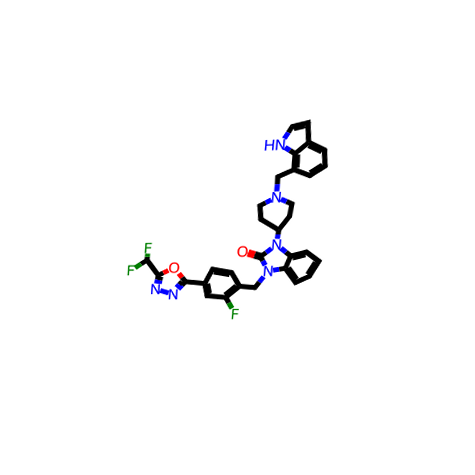 O=c1n(Cc2ccc(-c3nnc(C(F)F)o3)cc2F)c2ccccc2n1C1CCN(Cc2cccc3cc[nH]c23)CC1